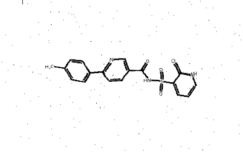 Cc1ccc(-c2ccc(C(=O)NS(=O)(=O)c3ccc[nH]c3=O)cn2)cc1